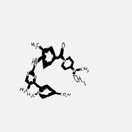 Cc1cc(C(=O)N2CCC(N(C)C)CC2)ccc1Nc1ncc(C)c(-c2cc(C(=O)O)cn2C)n1